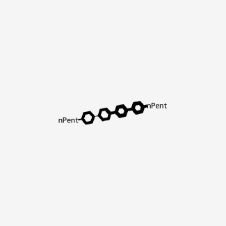 CCCCCc1ccc(-c2ccc(C3=CCC([C@H]4CC[C@H](CCCCC)CC4)CC3)cc2)cc1